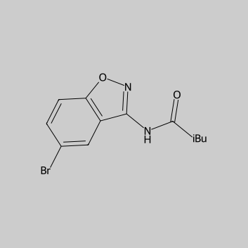 CCC(C)C(=O)Nc1noc2ccc(Br)cc12